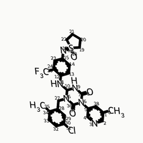 Cc1cncc(N2C(=O)NC(Nc3ccc(N=S4(=O)CCCC4)cc3C(F)(F)F)N(Cc3cc(Cl)ccc3C)C2=O)c1